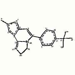 Cc1cc2c(s1)C=C(c1ccc(C(C)(C)C)cc1)N1CCN=C21